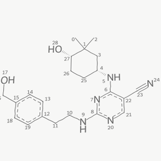 CC1(C)C[C@H](Nc2nc(NCCc3ccc(CO)cc3)ncc2C#N)CC[C@@H]1O